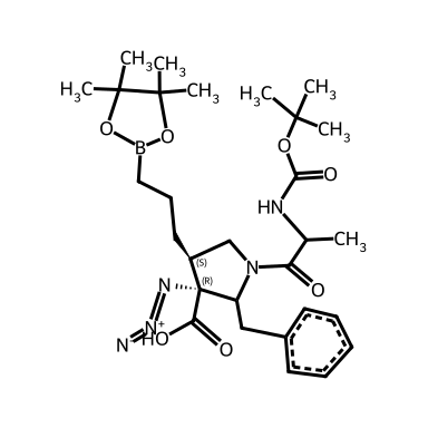 CC(NC(=O)OC(C)(C)C)C(=O)N1C[C@H](CCCB2OC(C)(C)C(C)(C)O2)[C@](N=[N+]=[N-])(C(=O)O)C1Cc1ccccc1